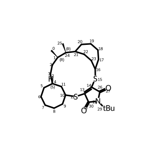 C[C@@H]1CC[C@@H]2CCCCCC(C2)SC2=C(SC3CCCCC(CC3)[C@@H]1C)C(=O)N(C(C)(C)C)C2=O